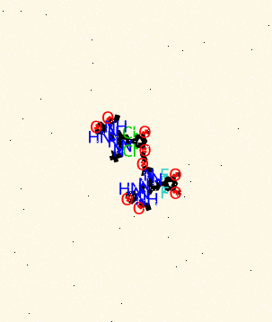 C=CC(=O)N[C@H]1COC[C@H]1Nc1ncc2cc(-c3c(F)c(OC)cc(OC)c3F)nc(N3CC(OCCOc4cc(OC)c(Cl)c(-c5cc6cnc(N[C@@H]7COC[C@@H]7NC(=O)C=C)nc6c(N6CC(C)(C)C6)n5)c4Cl)C3)c2n1